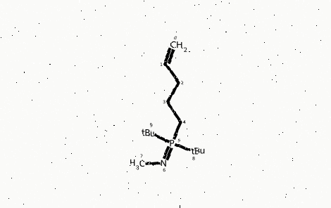 C=CCCCP(=NC)(C(C)(C)C)C(C)(C)C